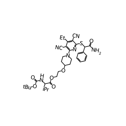 CCc1c(C#N)c(SC(C(N)=O)c2ccccc2)nc(N2CCC(OCCOC(=O)C(NC(=O)OC(C)(C)C)C(C)C)CC2)c1C#N